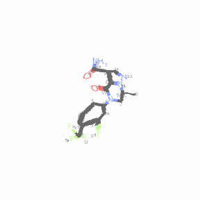 C[C@H]1CN(c2ccc(C(F)(F)F)c(F)c2)C(=O)c2c(C(N)=O)cnn21